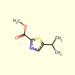 COC(=O)c1ncc(C(C)C)s1